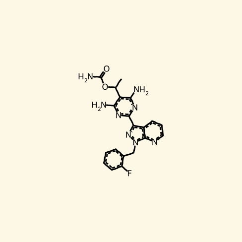 CC(OC(N)=O)c1c(N)nc(-c2nn(Cc3ccccc3F)c3ncccc23)nc1N